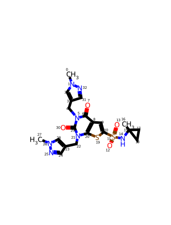 Cn1cc(Cn2c(=O)c3cc(S(=O)(=O)NC4(C)CC4)sc3n(Cc3cnn(C)c3)c2=O)cn1